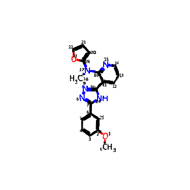 COc1cccc(-c2nnc(-c3cccnc3N(C)c3ccco3)[nH]2)c1